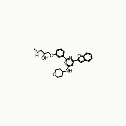 CNCC(O)COc1cccc(-c2nc(NC3CCOCC3)cc(-c3cc4ccccc4o3)n2)c1